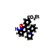 CCOC(=O)c1ccc(C(C(N)=O)C(Cc2ccccc2)c2ccccc2N2CCCCC2)cc1